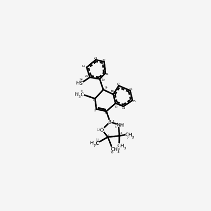 CC1C=C(B2NC(C)(C)C(C)(C)O2)c2ccccc2C1c1ccccc1S